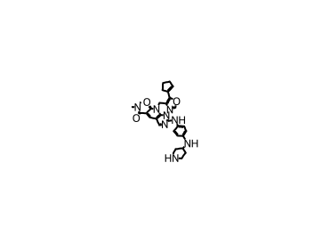 CN(C)C(=O)c1cc2cnc(Nc3ccc(NC4CCNCC4)cc3)nc2n(Cc2ncoc2C2=CCCC2)c1=O